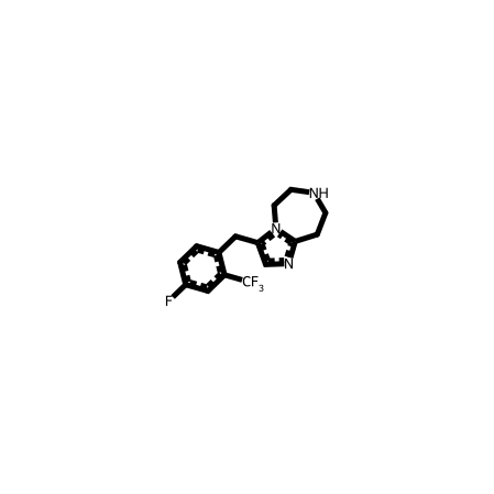 Fc1ccc(Cc2cnc3n2CCNCC3)c(C(F)(F)F)c1